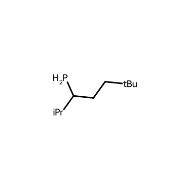 CC(C)C(P)CCC(C)(C)C